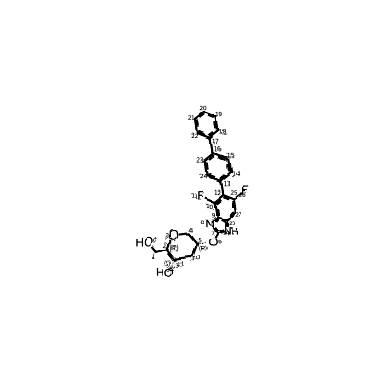 OC[C@H]1OC[C@H](Oc2nc3c(F)c(-c4ccc(-c5ccccc5)cc4)c(F)cc3[nH]2)C[C@@H]1O